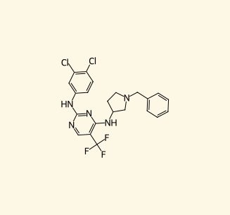 FC(F)(F)c1cnc(Nc2ccc(Cl)c(Cl)c2)nc1NC1CCN(Cc2ccccc2)C1